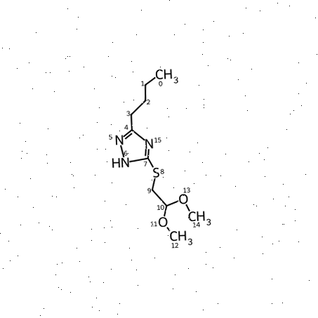 CCCCc1n[nH]c(SCC(OC)OC)n1